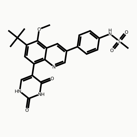 COc1c(C(C)(C)C)cc(-c2c[nH]c(=O)[nH]c2=O)c2ncc(-c3ccc(NS(C)(=O)=O)cc3)cc12